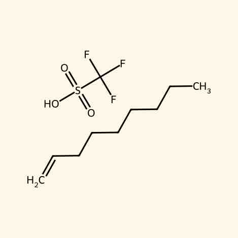 C=CCCCCCCC.O=S(=O)(O)C(F)(F)F